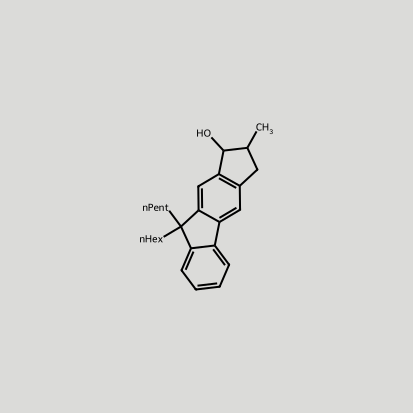 CCCCCCC1(CCCCC)c2ccccc2-c2cc3c(cc21)C(O)C(C)C3